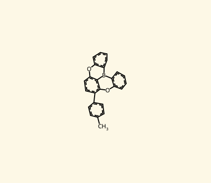 Cc1ccc(-c2ccc3c4c2Oc2ccccc2B4c2ccccc2O3)cc1